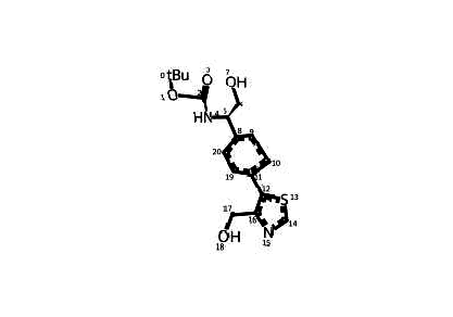 CC(C)(C)OC(=O)N[C@@H](CO)c1ccc(-c2scnc2CO)cc1